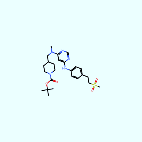 CN(CC1CCN(C(=O)OC(C)(C)C)CC1)c1cc(Nc2ccc(CCS(C)(=O)=O)cc2)ncn1